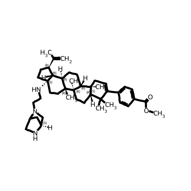 C=C(C)[C@@H]1CC[C@]2(NCCN3C[C@@H]4CC3CN4)CC[C@]3(C)[C@H](CC[C@@H]4[C@@]5(C)CC=C(c6ccc(C(=O)OC)cc6)C(C)(C)[C@@H]5CC[C@]43C)[C@@H]12